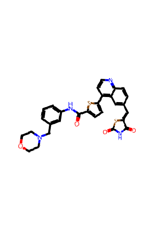 O=C1NC(=O)C(=Cc2ccc3nccc(-c4ccc(C(=O)Nc5cccc(CN6CCOCC6)c5)s4)c3c2)S1